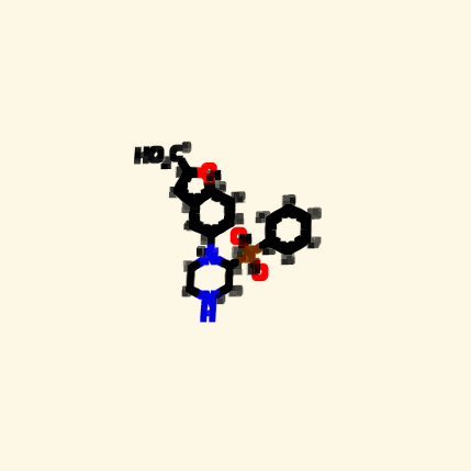 O=C(O)c1cc2cc(N3CCNCC3S(=O)(=O)c3ccccc3)ccc2o1